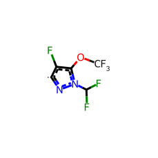 Fc1[c]nn(C(F)F)c1OC(F)(F)F